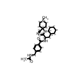 CC(=O)NCc1ccc(C(=O)NC(CC2CCCCC2)C(=O)NC2(C#N)CCN(C)CC2)cc1